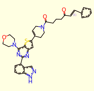 O=C(/C=C/c1ccccc1)CCCC(=O)N1CC=C(c2cc3nc(-c4cccc5[nH]ncc45)nc(N4CCOCC4)c3s2)CC1